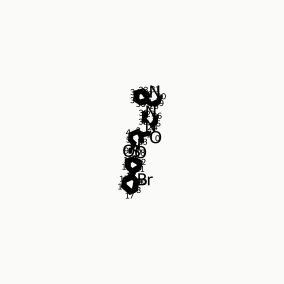 O=C(C1CCCN(S(=O)(=O)c2ccc(-c3ccccc3Br)cc2)C1)N1CCN(c2ccnc3ccccc23)CC1